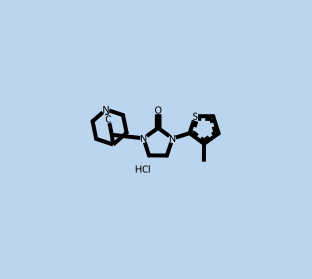 Cc1ccsc1N1CCN(C2CN3CCC2CC3)C1=O.Cl